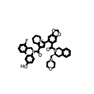 Cc1cccc(F)c1CN(C(=O)c1cc(-c2cc3c(cc2C(=O)N2Cc4ccccc4C[C@H]2CN2CCOCC2)OCO3)n2c1CCCC2)c1ccc(O)cc1